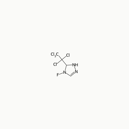 FN1C=NNC1C(Cl)(Cl)C(Cl)(Cl)Cl